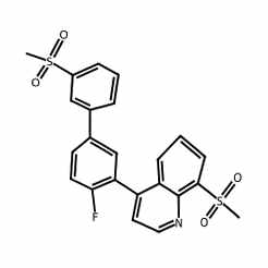 CS(=O)(=O)c1cccc(-c2ccc(F)c(-c3ccnc4c(S(C)(=O)=O)cccc34)c2)c1